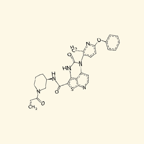 C=CC(=O)N1CCC[C@@H](NC(=O)c2sc3nccc4c3c2NC(=O)N4c2ccc(Oc3ccccc3)nc2C)C1